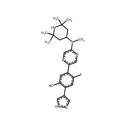 CN(c1cnc(-c2cc(C#N)c(-c3cn[nH]c3)cc2F)cn1)C1CC(C)(C)NC(C)(C)C1